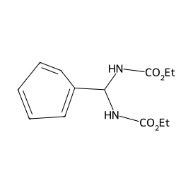 CCOC(=O)NC(NC(=O)OCC)c1ccccc1